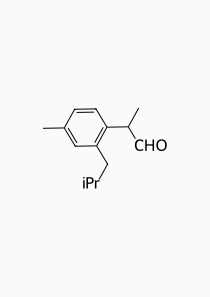 Cc1ccc(C(C)C=O)c(CC(C)C)c1